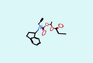 C#CCN(C(=O)OC(C)OC(=O)CC)C1CCc2ccccc21